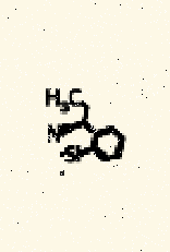 CCC(C#N)c1ccccc1[Si]